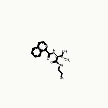 CC(C)CCNC(=O)[C@@H](NC(=O)c1nccc2ccccc12)[C@@H](C)O